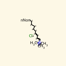 CCCCCCCCCCCCCCC=CC=C[N+](C)(C)C.[Cl-]